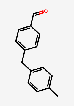 Cc1ccc(Cc2ccc(C=O)cc2)cc1